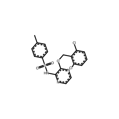 Cc1ccc(S(=O)(=O)Nc2nccnc2OCc2c(Cl)cccc2Cl)cc1